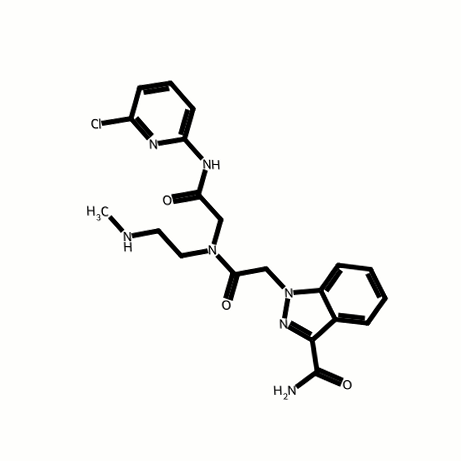 CNCCN(CC(=O)Nc1cccc(Cl)n1)C(=O)Cn1nc(C(N)=O)c2ccccc21